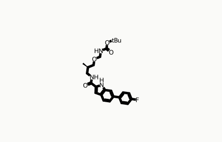 C[C@H](CNC(=O)c1cc2ccc(-c3ccc(F)cc3)cc2[nH]1)COCNC(=O)OC(C)(C)C